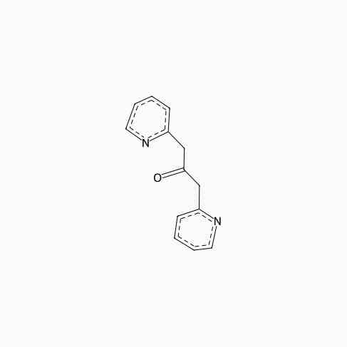 O=C(Cc1ccccn1)Cc1ccccn1